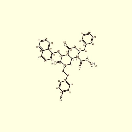 NOC(=O)N1C2CN(CCc3ccc(F)cc3)C(=O)C(Cc3cccc4ccccc34)N2C(=O)CN1Cc1ccccc1